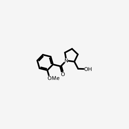 COc1ccccc1C(=O)N1CCCC1CO